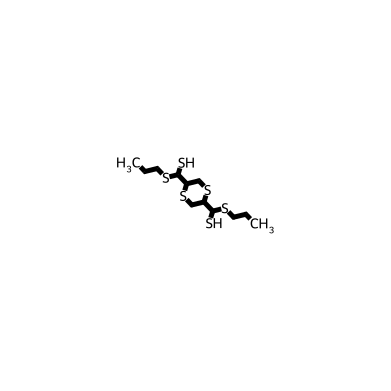 CCCSC(S)C1CSC(C(S)SCCC)CS1